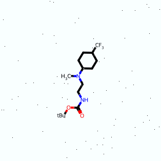 CN(CCNC(=O)OC(C)(C)C)C1CCC(C(F)(F)F)CC1